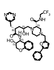 O=C(N[C@H]1c2ccccc2OC[C@H]1O)[C@H](Cc1cncnc1)C[C@H](O)CN1CCN(Cc2ccc(-c3ccccc3)o2)C[C@H]1C(=O)NCC(F)(F)F